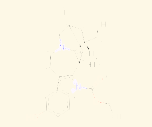 CCOC(=O)n1c2c(c3cc(O)ccc31)CCN1C[C@H]3C[C@H](CC)C1[C@H]2C3